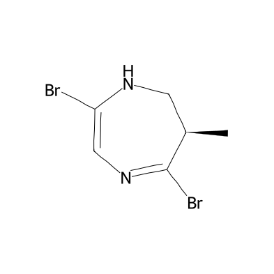 C[C@@H]1CNC(Br)=CN=C1Br